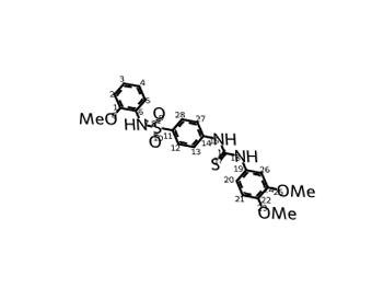 COc1ccccc1NS(=O)(=O)c1ccc(NC(=S)Nc2ccc(OC)c(OC)c2)cc1